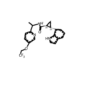 CC(NC(=O)[C@H]1C[C@@H]1c1cccc2cc[nH]c12)c1ccc(OCC(F)(F)F)cn1